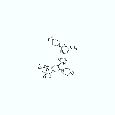 Cc1cc(-c2nnc(-c3ccc(NS(=O)(=O)CC4(O)CC4)cc3N3CCC4(CC3)CC4)o2)nc(N2CCC(F)(F)CC2)n1